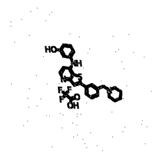 O=C(O)C(F)(F)F.Oc1cccc(Nc2ccnc3cc(-c4cccc(CN5CCCCC5)c4)sc23)c1